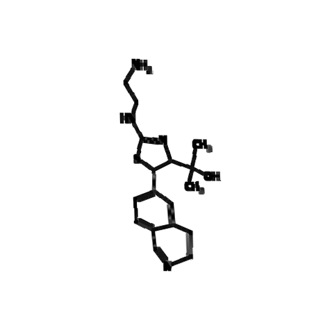 CC(C)(O)C1N=C(NCCN)SC1c1ccc2cnccc2c1